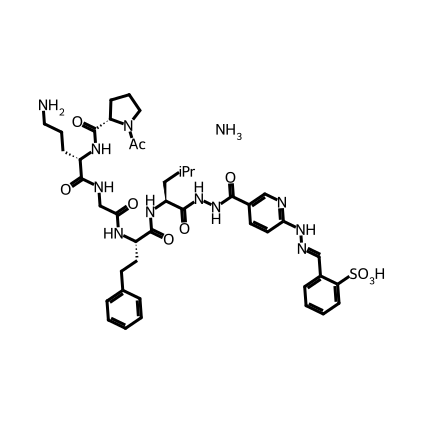 CC(=O)N1CCC[C@H]1C(=O)N[C@@H](CCCN)C(=O)NCC(=O)N[C@@H](CCc1ccccc1)C(=O)N[C@@H](CC(C)C)C(=O)NNC(=O)c1ccc(N/N=C/c2ccccc2S(=O)(=O)O)nc1.N